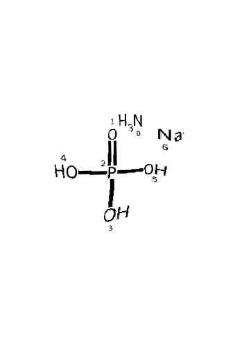 N.O=P(O)(O)O.[Na]